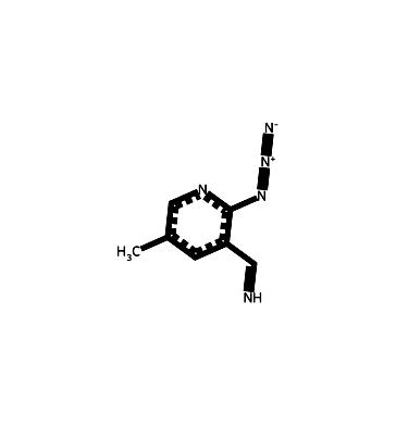 Cc1cnc(N=[N+]=[N-])c(C=N)c1